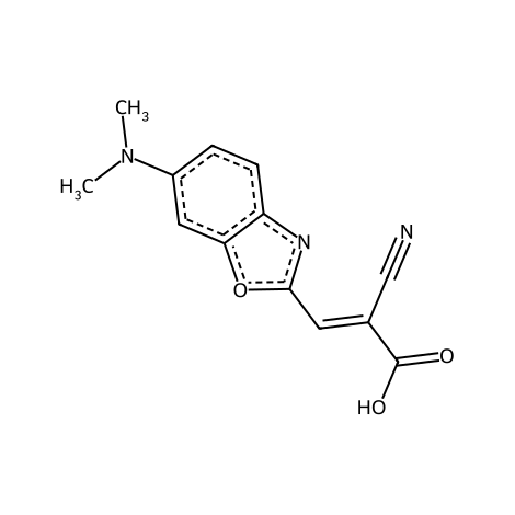 CN(C)c1ccc2nc(/C=C(\C#N)C(=O)O)oc2c1